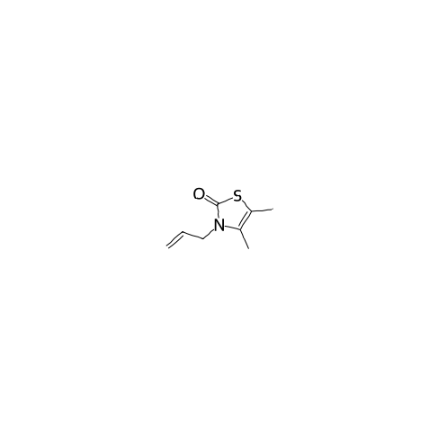 C=CCn1c(C)c(C)sc1=O